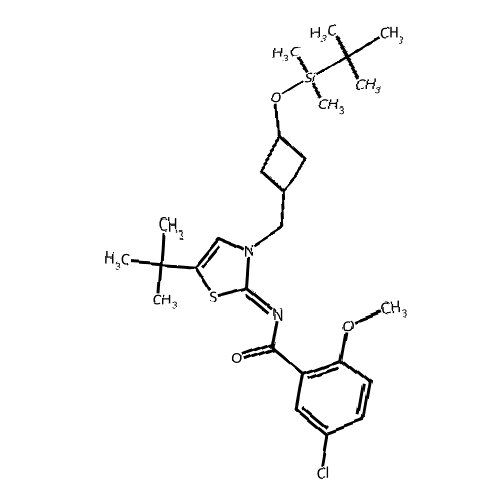 COc1ccc(Cl)cc1C(=O)/N=c1\sc(C(C)(C)C)cn1CC1CC(O[Si](C)(C)C(C)(C)C)C1